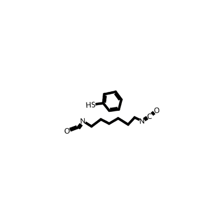 O=C=NCCCCCCN=C=O.Sc1ccccc1